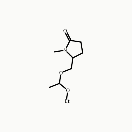 CCOC(C)OCC1CCC(=O)N1C